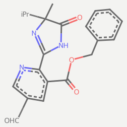 CC(C)C1(C)N=C(c2ncc(C=O)cc2C(=O)OCc2ccccc2)NC1=O